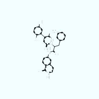 COc1nn(C(Cc2ccccc2)C(=O)Nc2ccc3c(=O)[nH]ccc3c2)c(=O)cc1-c1cc(Cl)ccc1C(C)=O